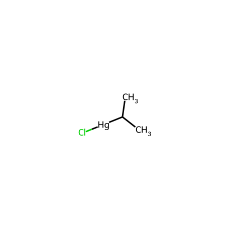 C[CH](C)[Hg][Cl]